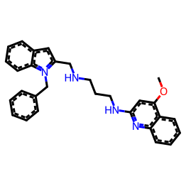 COc1cc(NCCCNCc2cc3ccccc3n2Cc2ccccc2)nc2ccccc12